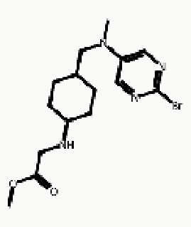 COC(=O)CNC1CCC(CN(C)c2cnc(Br)nc2)CC1